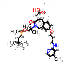 Cc1ccnc(NCCCOc2ccc3c(c2)CN(C(C)(C)COP(C)CCC(C)(C)C)C(=O)[C@H](CC(=O)O)C3)c1